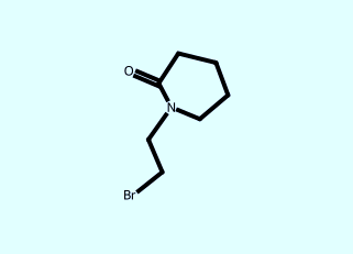 O=C1CCCCN1CCBr